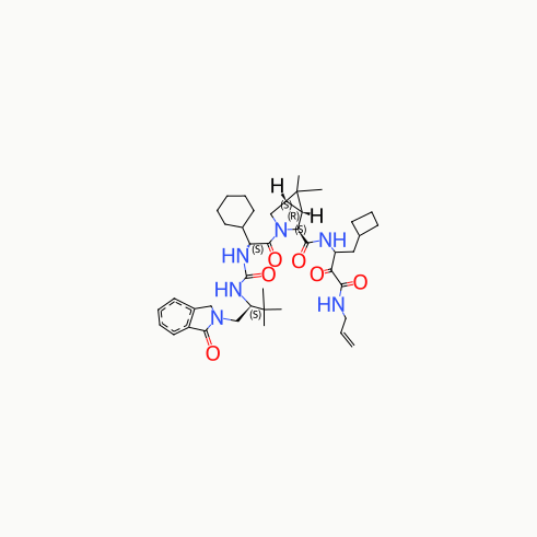 C=CCNC(=O)C(=O)C(CC1CCC1)NC(=O)[C@@H]1[C@@H]2[C@H](CN1C(=O)[C@@H](NC(=O)N[C@H](CN1Cc3ccccc3C1=O)C(C)(C)C)C1CCCCC1)C2(C)C